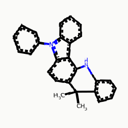 CC1(C)c2ccccc2Nc2c1ccc1c2c2ccccc2n1-c1ccccc1